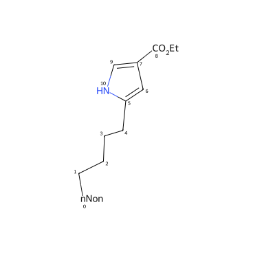 CCCCCCCCCCCCCc1cc(C(=O)OCC)c[nH]1